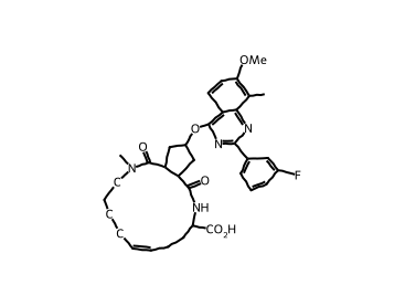 COc1ccc2c(OC3CC4C(=O)NC(C(=O)O)CCC=CCCCCN(C)C(=O)C4C3)nc(-c3cccc(F)c3)nc2c1C